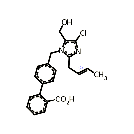 C/C=C/Cc1nc(Cl)c(CO)n1Cc1ccc(-c2ccccc2C(=O)O)cc1